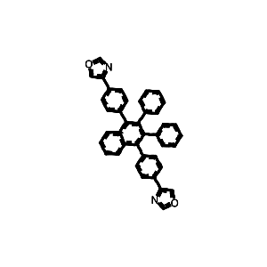 c1ccc(-c2c(-c3ccccc3)c(-c3ccc(-c4cocn4)cc3)c3ccccc3c2-c2ccc(-c3cocn3)cc2)cc1